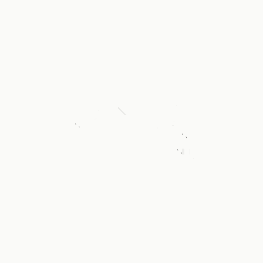 CN(N)C(=S)SCc1ccc([N+](=O)[O-])cc1